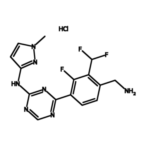 Cl.Cn1ccc(Nc2ncnc(-c3ccc(CN)c(C(F)F)c3F)n2)n1